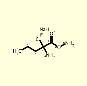 CCCC(N)(Cl)C(=O)ON.[NaH]